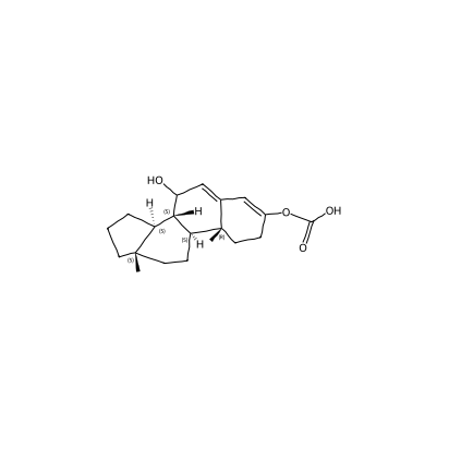 C[C@@]12CCC[C@H]1[C@@H]1C(O)C=C3C=C(OC(=O)O)CC[C@]3(C)[C@H]1CC2